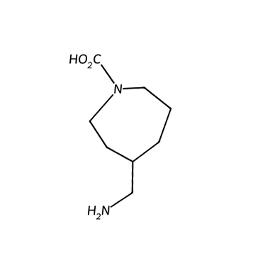 NCC1CCCN(C(=O)O)CC1